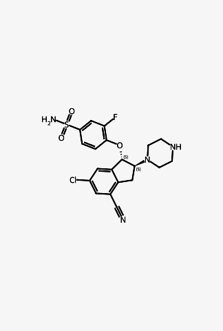 N#Cc1cc(Cl)cc2c1C[C@H](N1CCNCC1)[C@H]2Oc1ccc(S(N)(=O)=O)cc1F